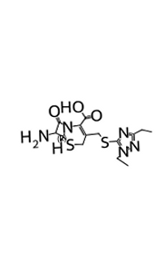 CCc1nc(SCC2=C(C(=O)O)N3C(=O)C(N)[C@H]3SC2)n(CC)n1